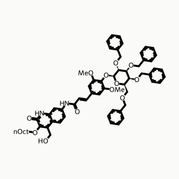 CCCCCCCCOc1c(CO)c2ccc(NC(=O)C=Cc3cc(OC)c(O[C@@H]4O[C@H](COCc5ccccc5)[C@H](OCc5ccccc5)[C@H](OCc5ccccc5)[C@H]4OCc4ccccc4)c(OC)c3)cc2[nH]c1=O